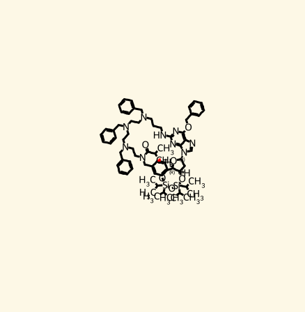 CC(C)C(=O)N(CCN(CCN(CCN(CCCNc1nc(OCc2ccccc2)c2ncn([C@H]3C[C@@H]4O[Si](C(C)C)(C(C)C)O[Si](C(C)C)(C(C)C)OC[C@H]4O3)c2n1)Cc1ccccc1)Cc1ccccc1)Cc1ccccc1)Cc1ccccc1